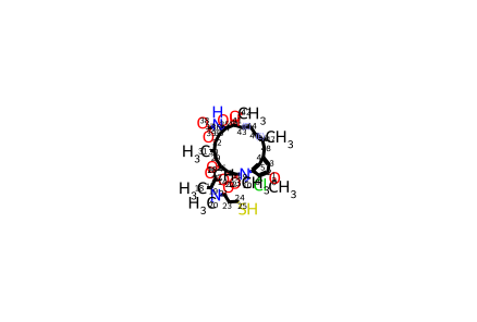 COc1cc2cc(c1Cl)N(C)C(=O)C(OC(=O)C(C)N(C)C(=O)CCS)C1(C)OC1C(C)C1CC(O)(NC(=O)O1)C(OC)/C=C/C=C(\C)C2